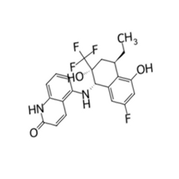 CC[C@@H]1C[C@](O)(C(F)(F)F)[C@@H](Nc2cccc3[nH]c(=O)ccc23)c2cc(F)cc(O)c21